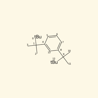 CC(C)(C)C(C)(C)c1cccc(C(C)(C)C(C)(C)C)c1